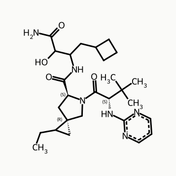 CCC1C[C@@]12C[C@@H](C(=O)NC(CC1CCC1)C(O)C(N)=O)N(C(=O)[C@@H](Nc1ncccn1)C(C)(C)C)C2